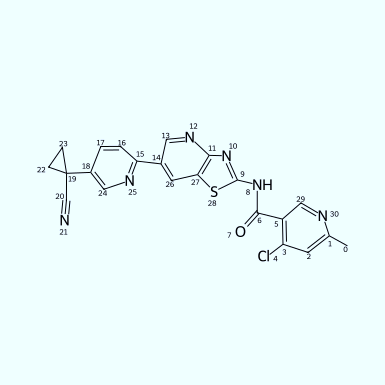 Cc1cc(Cl)c(C(=O)Nc2nc3ncc(-c4ccc(C5(C#N)CC5)cn4)cc3s2)cn1